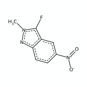 Cn1nc2ccc([N+](=O)[O-])cc2c1F